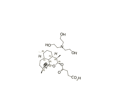 C[C@H]1[C@@H](OC(=O)CCC(=O)O)O[C@@H]2O[C@@]3(C)CC[C@H]4[C@H](C)CC[C@@H]1[C@@]24OO3.OCCN(CCO)CCO